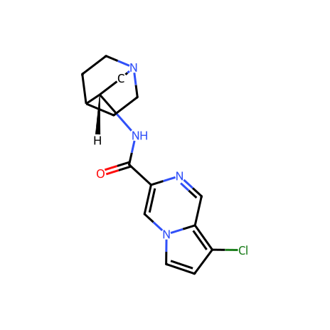 O=C(N[C@H]1CN2CCC1CC2)c1cn2ccc(Cl)c2cn1